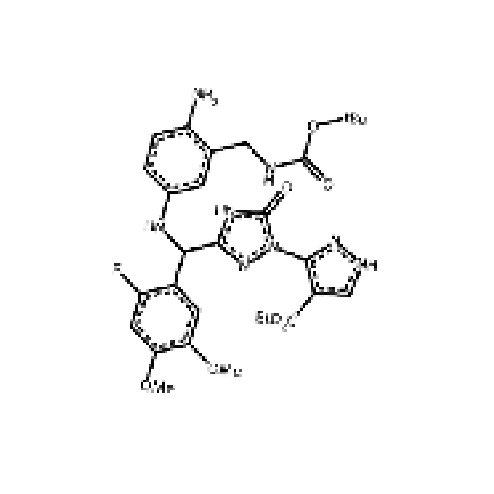 CCOC(=O)c1c[nH]nc1-n1nc(C(Nc2ccc(N)c(CNC(=O)OC(C)(C)C)c2)c2cc(OC)c(OC)cc2F)[nH]c1=O